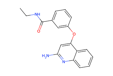 CCNC(=O)c1cccc(Oc2cc(N)nc3ccccc23)c1